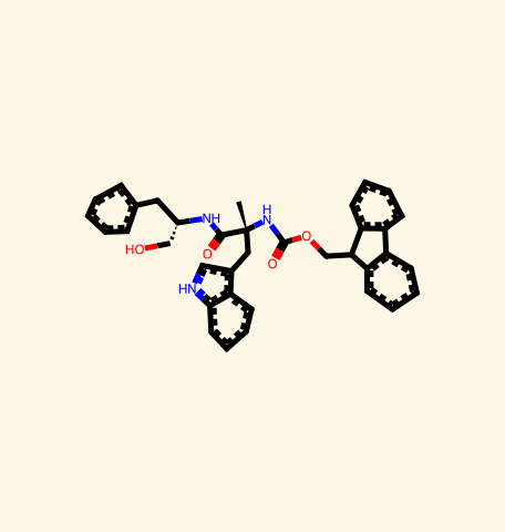 C[C@](Cc1c[nH]c2ccccc12)(NC(=O)OCC1c2ccccc2-c2ccccc21)C(=O)N[C@H](CO)Cc1ccccc1